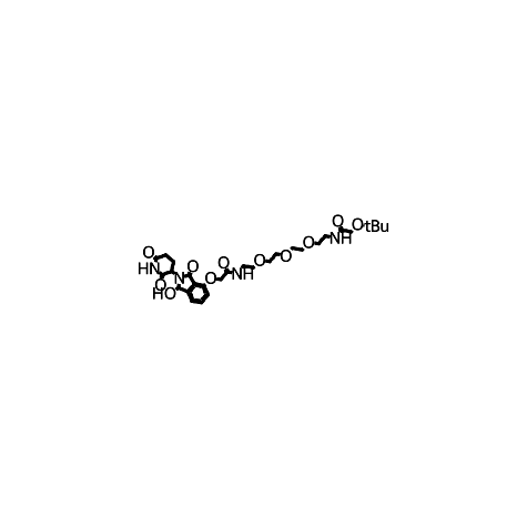 CC(C)(C)OCC(=O)NCCOCCOCCOCCNC(=O)COc1cccc2c1C(=O)N(C1CCC(=O)NC1=O)C2O